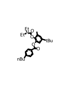 CCCCc1ccc(C(=O)Oc2cc(C(C)(C)C)cc(C)c2OC(=O)N(CC)CC)cc1